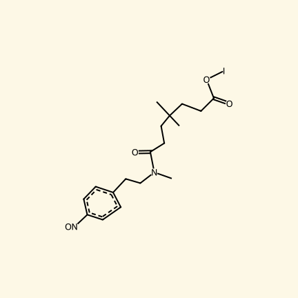 CN(CCc1ccc(N=O)cc1)C(=O)CCC(C)(C)CCC(=O)OI